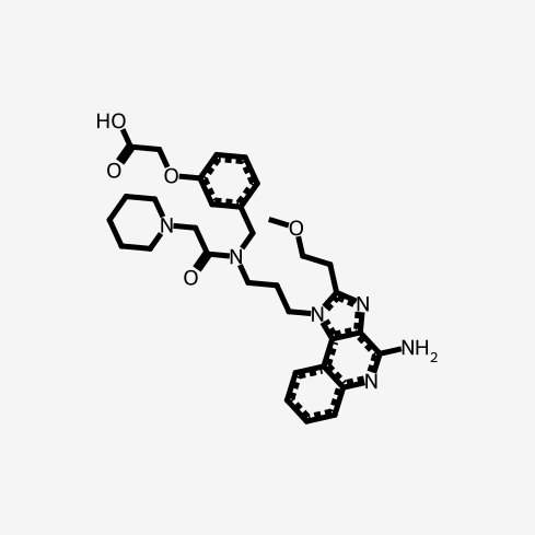 COCCc1nc2c(N)nc3ccccc3c2n1CCCN(Cc1cccc(OCC(=O)O)c1)C(=O)CN1CCCCC1